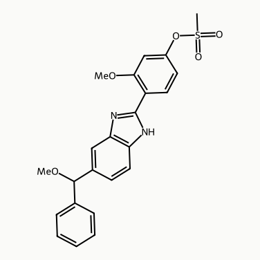 COc1cc(OS(C)(=O)=O)ccc1-c1nc2cc(C(OC)c3ccccc3)ccc2[nH]1